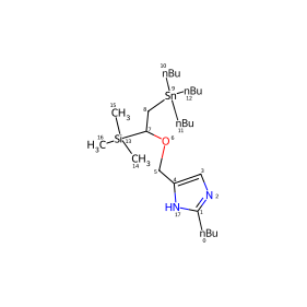 CCCCc1ncc(COC([CH2][Sn]([CH2]CCC)([CH2]CCC)[CH2]CCC)[Si](C)(C)C)[nH]1